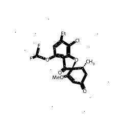 CCc1cc(OC(F)F)c2c(c1Cl)O[C@]1(C2=O)C(OC)=CC(=O)C[C@H]1C